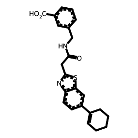 O=C(Cc1nc2ccc(C3=CCCCC3)cc2s1)NCc1cccc(C(=O)O)c1